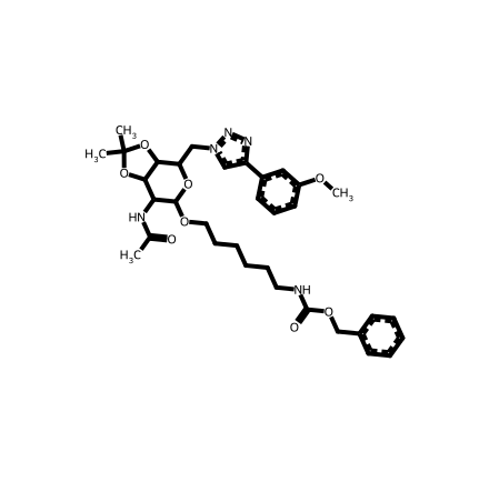 COc1cccc(-c2cn(CC3OC(OCCCCCCNC(=O)OCc4ccccc4)C(NC(C)=O)C4OC(C)(C)OC34)nn2)c1